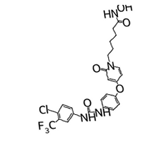 O=C(CCCCCn1ccc(Oc2ccc(NC(=O)Nc3ccc(Cl)c(C(F)(F)F)c3)cc2)cc1=O)NO